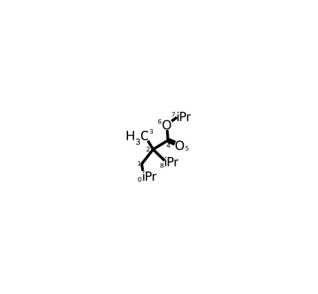 CC(C)CC(C)(C(=O)OC(C)C)C(C)C